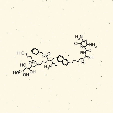 CCCCCCN(CCCN(C(=O)OCc1ccccc1)[C@@H](Cc1ccc2cc(CCCCNC(=N)NC(=O)c3nc(Cl)c(N)nc3N)ccc2c1)C(N)=O)C[C@H](O)[C@@H](O)[C@H](O)[C@H](O)CO